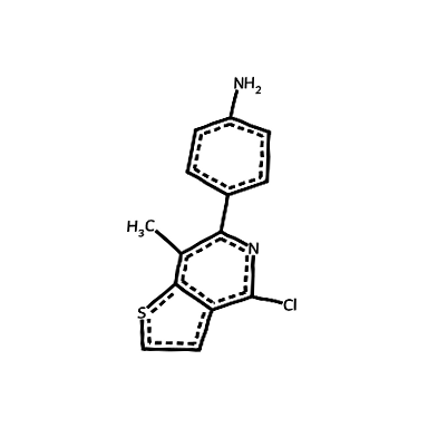 Cc1c(-c2ccc(N)cc2)nc(Cl)c2ccsc12